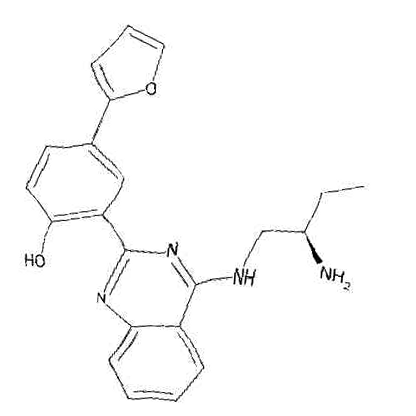 CC[C@@H](N)CNc1nc(-c2cc(-c3ccco3)ccc2O)nc2ccccc12